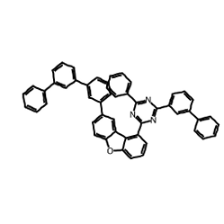 c1ccc(-c2cccc(-c3cccc(-c4ccc5oc6cccc(-c7nc(-c8ccccc8)nc(-c8cccc(-c9ccccc9)c8)n7)c6c5c4)c3)c2)cc1